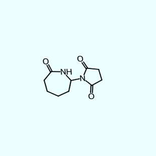 O=C1CCCCC(N2C(=O)CCC2=O)N1